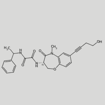 CC(NC(=O)C(=O)N[C@H]1COc2ccc(C#CCCO)cc2N(C)C1=O)c1ccccc1